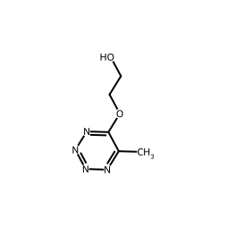 Cc1nnnnc1OCCO